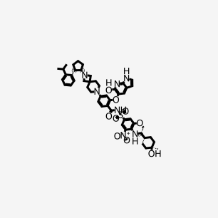 CC(C)c1ccccc1[C@@H]1CCC[C@@H]1N1CC2(CCN(c3ccc(C(=O)NS(=O)(=O)c4cc5c(c([N+](=O)[O-])c4)N[C@@H]([C@H]4CC[C@](C)(O)CC4)CO5)c(Oc4cc5cc[nH]c5nc4O)c3)CC2)C1